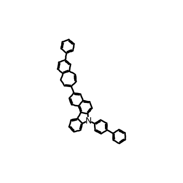 C1=Cc2cc(-c3ccccc3)ccc2CC=C1c1ccc2c(ccc3c2c2ccccc2n3-c2ccc(-c3ccccc3)cc2)c1